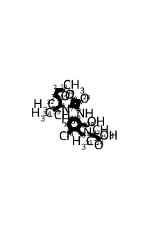 Cc1ccc([C@H](Nc2c(Nc3ccc(Cl)c4c3C(O)N(C(C)(C)C(=O)O)C4)c(=O)c2=O)C(C)(C)C)o1